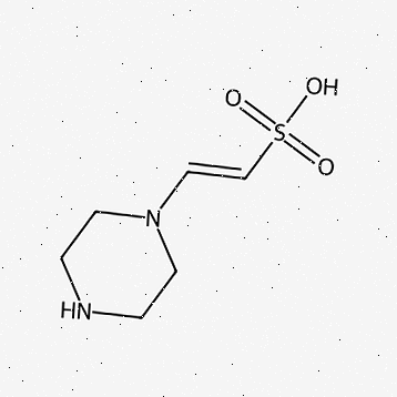 O=S(=O)(O)C=CN1CCNCC1